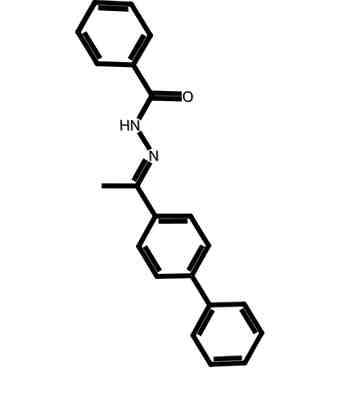 C/C(=N\NC(=O)c1ccccc1)c1ccc(-c2ccccc2)cc1